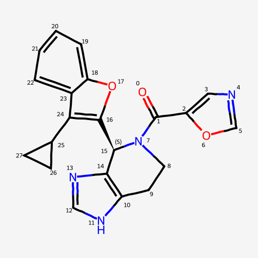 O=C(c1cnco1)N1CCc2[nH]cnc2[C@H]1c1oc2ccccc2c1C1CC1